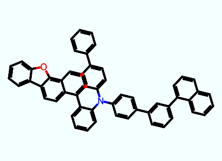 c1ccc(-c2ccc(N(c3ccc(-c4cccc(-c5cccc6ccccc56)c4)cc3)c3ccccc3-c3cccc4c3ccc3c5ccccc5oc43)cc2)cc1